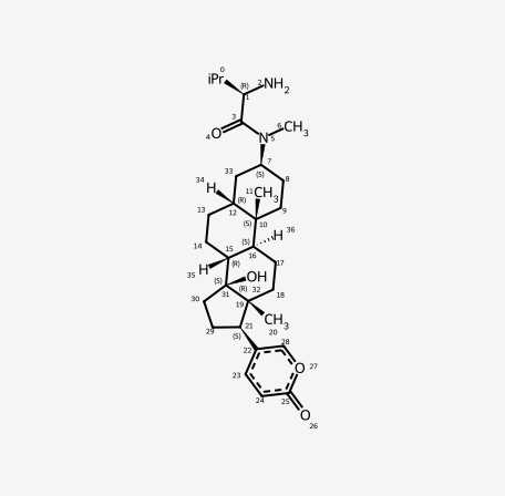 CC(C)[C@@H](N)C(=O)N(C)[C@H]1CC[C@@]2(C)[C@H](CC[C@@H]3[C@@H]2CC[C@]2(C)[C@@H](c4ccc(=O)oc4)CC[C@]32O)C1